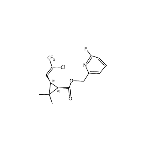 CC1(C)[C@H](C(=O)OCc2cccc(F)n2)[C@@H]1C=C(Cl)C(F)(F)F